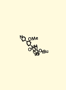 COc1cc(NC(=O)[C@@H](CC(C)C)NC(=O)OC(C)(C)C)ccc1-c1ccncc1